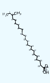 CCC(C)CCCCCCCCCCCCCCCCCCCC(=O)O